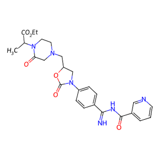 CCOC(=O)C(C)N1CCN(CC2CN(c3ccc(C(=N)NC(=O)c4cccnc4)cc3)C(=O)O2)CC1=O